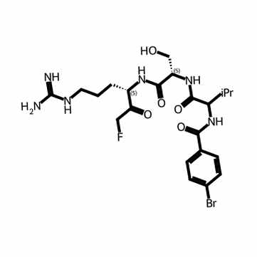 CC(C)C(NC(=O)c1ccc(Br)cc1)C(=O)N[C@@H](CO)C(=O)N[C@@H](CCCNC(=N)N)C(=O)CF